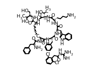 CC(O)[C@@H]1NC(=O)[C@H](CCCCN)NC(=O)[C@@H](Cc2c[nH]c3ccccc23)NC(=O)[C@H](Cc2ccccc2)NC(=O)[C@@H](NC(=O)[C@H](N)Cc2ccccc2)CSSC[C@@H](C(=O)N[C@H](CO)[C@@H](C)O)NC1=O.N=C(N)NC(=O)Cc1c(Cl)cccc1Cl